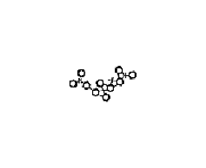 CC1(C)c2c(ccc3c2-c2ccccc2C32c3ccccc3-c3ccc(-c4ccc(N(c5ccccc5)c5ccccc5)cc4)cc32)-c2ccc3c(c21)c1ccccc1n3-c1ccccc1